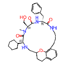 CN1C(=O)[C@H](C2CCCCC2)NCC2CCc3cccc(c3O2)CCCNC(=O)[C@@H](Cc2ccccc2)NC(=O)[C@@H]1CO